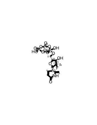 C=C1NC(=O)C=CN1[C@@H]1O[C@H](COP(=O)(O)OP(=O)(O)OP(=O)(O)O)[C@@H](O)[C@@]1(C)F